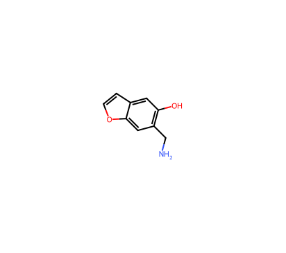 NCc1cc2occc2cc1O